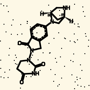 O=C1CCN(N2Cc3cc(N4C[C@H]5C[C@@H]4CN5)ccc3C2=O)C(=O)N1